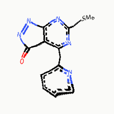 CSc1nc2c(c(-c3ccccn3)n1)C(=O)N=N2